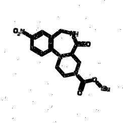 CC(C)(C)OC(=O)N1CCN2c3ccc([N+](=O)[O-])cc3CNC(=O)C2C1